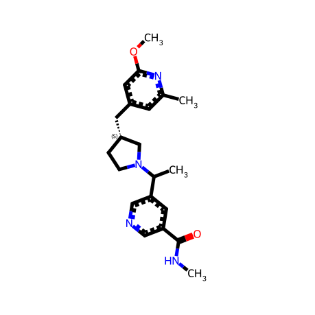 CNC(=O)c1cncc(C(C)N2CC[C@H](Cc3cc(C)nc(OC)c3)C2)c1